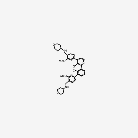 COc1nc(-c2cccc(-c3nccc(-c4ccc(CNC5CCOCC5)c(OC)n4)c3Cl)c2Cl)ccc1CNC1CCOCC1